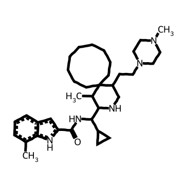 Cc1cccc2cc(C(=O)NC(C3CC3)C3NCC(CCN4CCN(C)CC4)C4(CCCCCCCCC4)C3C)[nH]c12